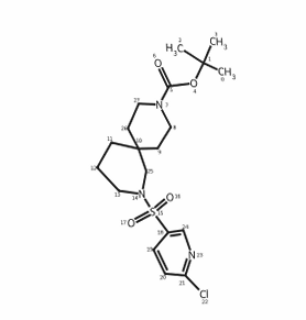 CC(C)(C)OC(=O)N1CCC2(CCCN(S(=O)(=O)c3ccc(Cl)nc3)C2)CC1